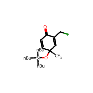 CCCC[Si](CCCC)(CCCC)OC1(C(F)(F)F)C=CC(=O)C(CF)=C1